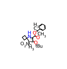 C[C@@H](OC(C)(C)C)[C@H](NC1(C[N+](=O)[O-])CCC1)C(=O)OC(C)(C)c1ccccc1